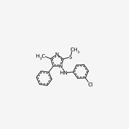 CSc1nc(C)c(-c2ccccc2)n1Nc1cccc(Cl)c1